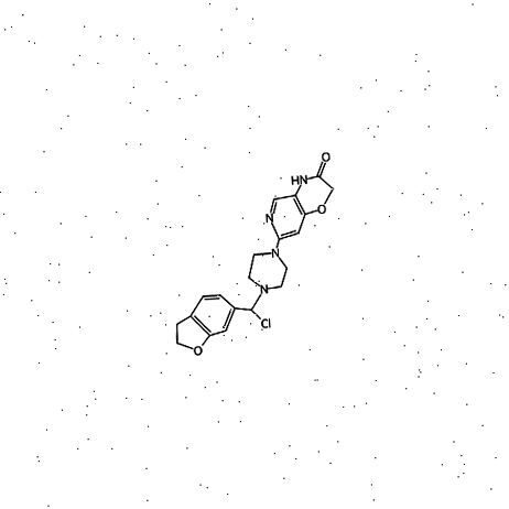 O=C1COc2cc(N3CCN(C(Cl)c4ccc5c(c4)OCC5)CC3)ncc2N1